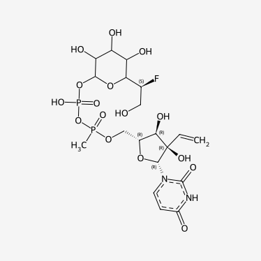 C=C[C@@]1(O)[C@H](O)[C@@H](COP(C)(=O)OP(=O)(O)OC2OC([C@@H](F)CO)C(O)C(O)C2O)O[C@H]1n1ccc(=O)[nH]c1=O